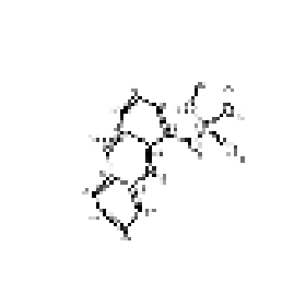 COP(=O)(OC)Oc1cccc2nc3ccccc3nc12